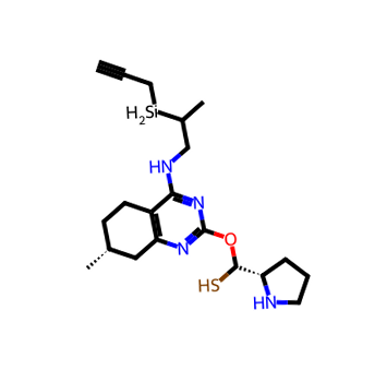 C#CC[SiH2]C(C)CNc1nc(OC(S)[C@@H]2CCCN2)nc2c1CC[C@@H](C)C2